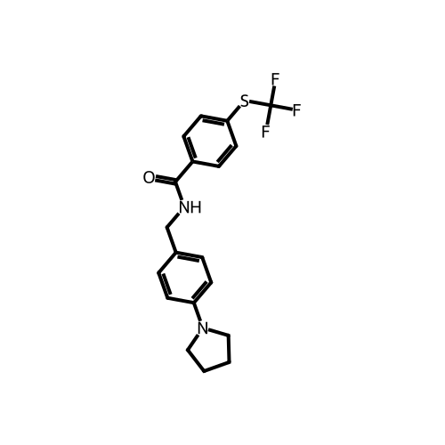 O=C(NCc1ccc(N2CCCC2)cc1)c1ccc(SC(F)(F)F)cc1